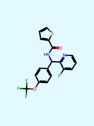 O=C(NC(c1ccc(OC(F)(F)F)cc1)c1ncccc1F)c1cccs1